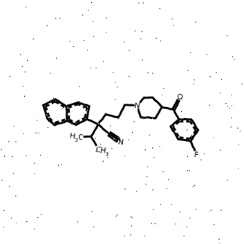 CC(C)C(C#N)(CCCN1CCC(C(=O)c2ccc(F)cc2)CC1)c1ccc2ccccc2c1